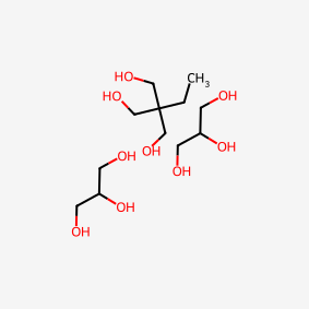 CCC(CO)(CO)CO.OCC(O)CO.OCC(O)CO